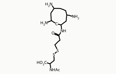 CC(=O)NC(CSSCCC(=O)NC1CC(N)CCC(N)CC(N)C1)C(=O)O